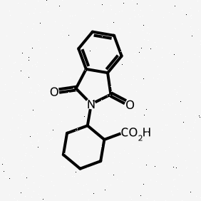 O=C(O)C1CCCCC1N1C(=O)c2ccccc2C1=O